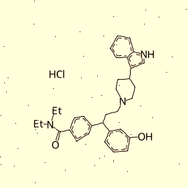 CCN(CC)C(=O)c1ccc(C(CCN2CCC(c3c[nH]c4ccccc34)CC2)c2cccc(O)c2)cc1.Cl